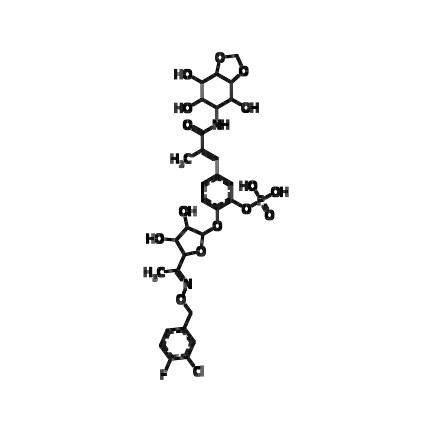 CC(=Cc1ccc(OC2OC(C(C)=NOCc3ccc(F)c(Cl)c3)C(O)C2O)c(OP(=O)(O)O)c1)C(=O)NC1C(O)C(O)C2OCOC2C1O